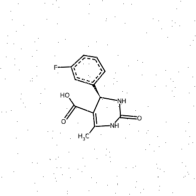 CC1=C(C(=O)O)[C@@H](c2cccc(F)c2)NC(=O)N1